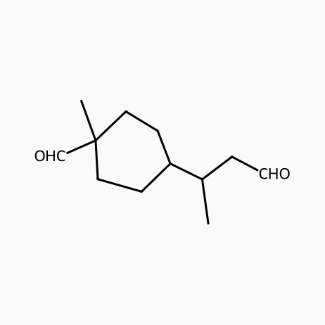 CC(CC=O)C1CCC(C)(C=O)CC1